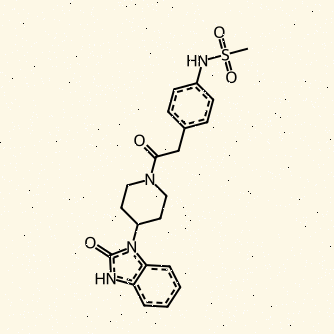 CS(=O)(=O)Nc1ccc(CC(=O)N2CCC(n3c(=O)[nH]c4ccccc43)CC2)cc1